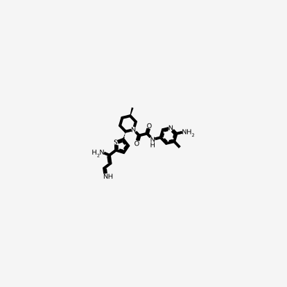 Cc1cc(NC(=O)C(=O)N2C[C@H](C)CC[C@H]2c2ccc(/C(N)=C/C=N)s2)cnc1N